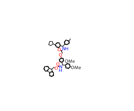 COc1ccc(C(NC(=O)OCC2c3ccccc3-c3ccccc32)c2ccc(OCC(=O)NC(c3ccc(C)cc3)c3ccc(C4CCCC4)cc3)cc2)c(OC)c1